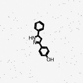 Oc1ccc(C2=NNC(c3ccccc3)C2)cc1